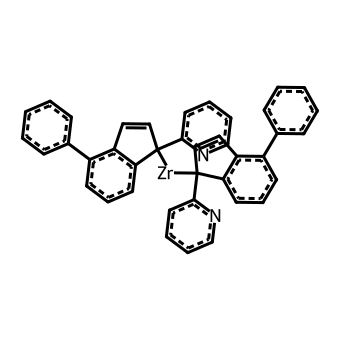 C1=C[C]([Zr][C]2(c3ccccn3)C=Cc3c(-c4ccccc4)cccc32)(c2ccccn2)c2cccc(-c3ccccc3)c21